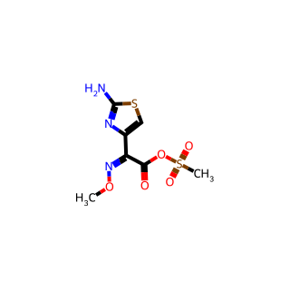 CO/N=C(\C(=O)OS(C)(=O)=O)c1csc(N)n1